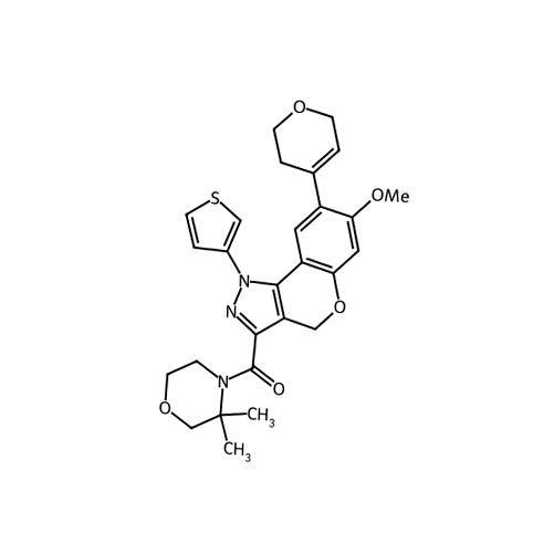 COc1cc2c(cc1C1=CCOCC1)-c1c(c(C(=O)N3CCOCC3(C)C)nn1-c1ccsc1)CO2